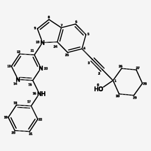 OC1(C#Cc2ccc3ccn(-c4ccnc(Nc5ccccc5)n4)c3c2)CCCCC1